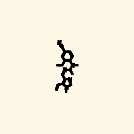 C=Cc1c(/C=N\C(C)N(C)c2ccc(C#N)cc2CC)ncn1C